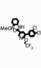 CON=C1CCCC[C@H]1NC(=O)c1cnc(OCC(F)(F)F)c(-c2ccc(Cl)c(Cl)c2)c1